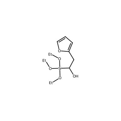 CCO[Si](OCC)(OCC)C(O)Cc1ccco1